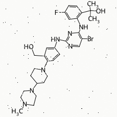 CN1CCN(C2CCN(c3ccc(Nc4ncc(Br)c(Nc5cc(F)ccc5C(C)(C)O)n4)cc3CO)CC2)CC1